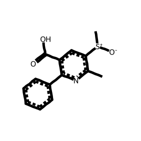 Cc1nc(-c2ccccc2)c(C(=O)O)cc1[S+](C)[O-]